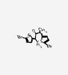 CC(C(=O)C(C)c1ccc(Br)s1)c1ccc(Br)s1